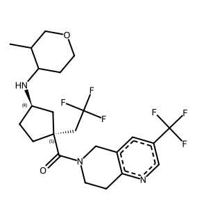 CC1COCCC1N[C@@H]1CC[C@](CC(F)(F)F)(C(=O)N2CCc3ncc(C(F)(F)F)cc3C2)C1